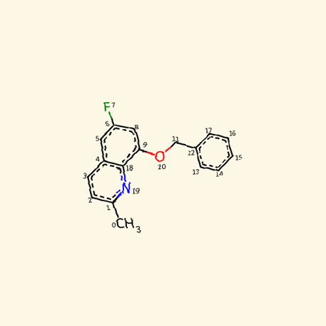 Cc1ccc2cc(F)cc(OCc3ccccc3)c2n1